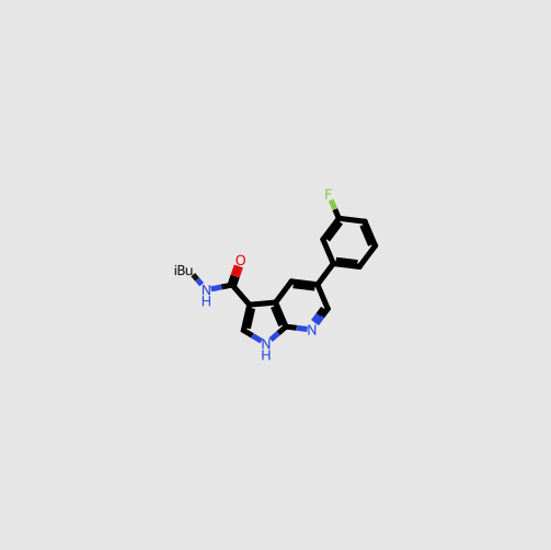 CCC(C)NC(=O)c1c[nH]c2ncc(-c3cccc(F)c3)cc12